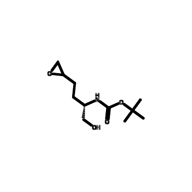 CC(C)(C)OC(=O)N[C@H](CO)CCC1CO1